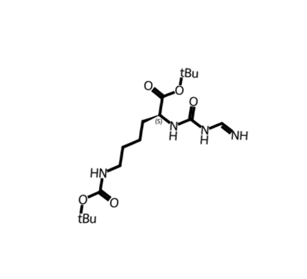 CC(C)(C)OC(=O)NCCCC[C@H](NC(=O)NC=N)C(=O)OC(C)(C)C